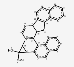 COC1(O)C2c3ccc4ccccc4c3C3=[N+](C=NC4c5ccc6ccccc6c5OC34)C21